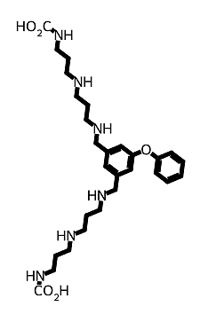 O=C(O)NCCCNCCCNCc1cc(CNCCCNCCCNC(=O)O)cc(Oc2ccccc2)c1